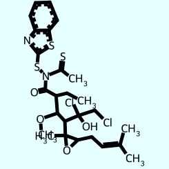 CCC(C(=O)N(Sc1nc2ccccc2s1)C(C)=S)C(OC)C(C(O)(Cl)CCl)C1(C)OC1CC=C(C)C